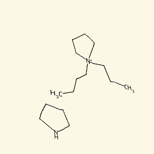 C1CCNC1.CCCC[N+]1(CCC)CCCC1